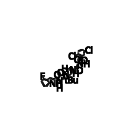 CC(C)(C)[C@H](NC(=O)c1cc2c(F)cccc2[nH]1)C(=O)N1C[C@@H]2C[C@H]1CN2C(=O)CNS(=O)(=O)c1cc(Cl)ccc1Cl